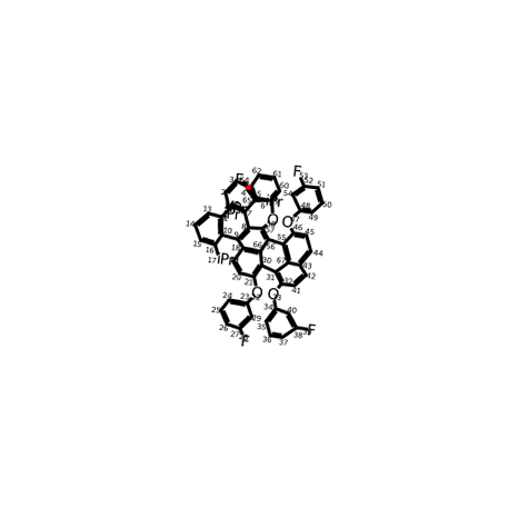 CC(C)c1cccc(C(C)C)c1-c1c(-c2c(C(C)C)cccc2C(C)C)c2ccc(Oc3cccc(F)c3)c3c4c(Oc5cccc(F)c5)ccc5ccc(Oc6cccc(F)c6)c(c(c1Oc1cccc(F)c1)c23)c54